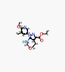 CCOC(=O)c1nn(-c2cnc(OC)c(C)c2)c2c1CCOCN2